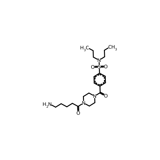 CCCN(CCC)S(=O)(=O)c1ccc(C(=O)N2CCN(C(=O)CCCCN)CC2)cc1